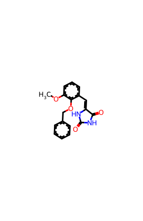 COc1cccc(/C=C2\NC(=O)NC2=O)c1OCc1ccccc1